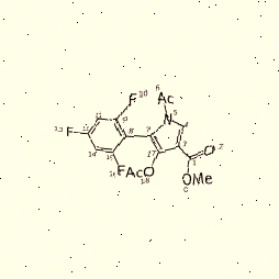 COC(=O)c1cn(C(C)=O)c(-c2c(F)cc(F)cc2F)c1OC(C)=O